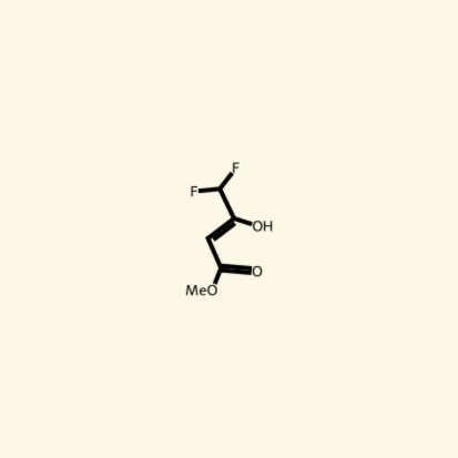 COC(=O)/C=C(\O)C(F)F